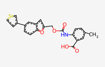 Cc1ccc(NC(=O)OCc2cc3cc(-c4ccsc4)ccc3o2)c(C(=O)O)c1